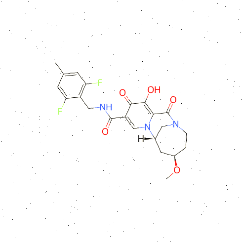 CO[C@@H]1CCN2C[C@H](C1)n1cc(C(=O)NCc3c(F)cc(C)cc3F)c(=O)c(O)c1C2=O